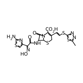 Cc1nnc(SC=CC2=C(C(=O)O)N3C(=O)C(NC(=O)C(=NO)c4csc(N)n4)C3SC2)s1